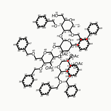 CC(=O)OC1C(OC(C)=O)[C@@H](OCc2ccccc2)C(COCc2ccccc2)O[C@@H]1OC1C(OC(C)=O)[C@@H](OCc2ccccc2)C(COCc2ccccc2)O[C@@H]1OC1C(OC(C)=O)[C@@H](OCc2ccccc2)C(COCc2ccccc2)O[C@@H]1O[C@@H]1C(OCc2ccccc2)[C@@H](C)OC(CO)[C@H]1OCc1ccccc1